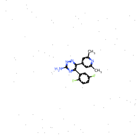 Cc1cc(-c2nnc(N)nc2-c2cc(F)ccc2F)cc(C)n1